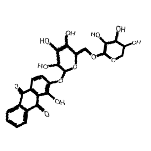 O=C1c2ccccc2C(=O)c2c1ccc(OC1OC(COC3OCC(O)C(O)C3O)C(O)C(O)C1O)c2O